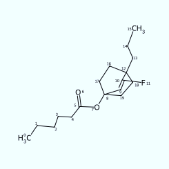 CCCCCC(=O)OC12C=C(F)C(CCC)(CC1)CC2